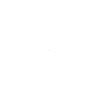 CCC1(C)CC2CCC1CCOC2